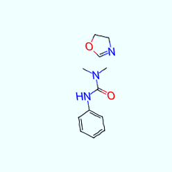 C1=NCCO1.CN(C)C(=O)Nc1ccccc1